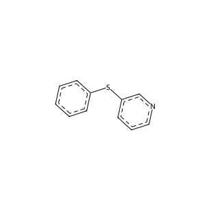 c1ccc(Sc2cccnc2)cc1